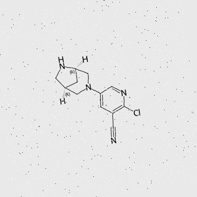 N#Cc1cc(N2C[C@H]3CN[C@H](C3)C2)cnc1Cl